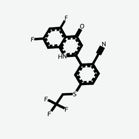 N#Cc1ccc(SCC(F)(F)F)cc1-c1cc(=O)c2c(F)cc(F)cc2[nH]1